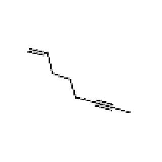 [CH2]C#CCCCC=C